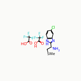 CSC[C@@H](N)c1nc2cc(Cl)ccc2[nH]1.O=C(O)C(F)(F)F.O=C(O)C(F)(F)F